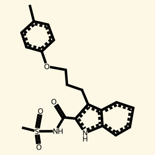 Cc1ccc(OCCCc2c(C(=O)NS(C)(=O)=O)[nH]c3ccccc23)cc1